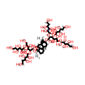 C=C1CC23CCC4[C@](C)(C(=O)OC(O)C(OC(O)C(O)C(O)C(O)CCO)C(OC(O)C(O)C(O)C(O)CCO)C(O)CCO)CCC[C@@]4(C)[C@@H]2CC[C@]1(OC(O)C(OC(O)/C(O)=C(\O)C(O)CCO)C(OC(O)C(O)C(O)C(O)CCO)C(O)CCOC(O)C(O)C(O)C(O)CCO)C3